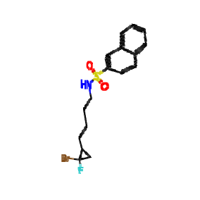 O=S(=O)(NCCCCC1CC1(F)Br)c1ccc2ccccc2c1